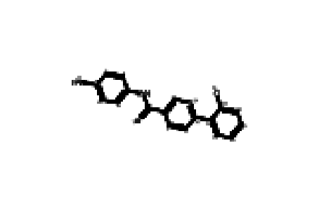 CCCc1ccc(NC(=O)c2ccc(-c3ccccc3Cl)nc2)cc1